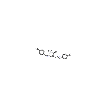 O=C(N(C/C=C/c1ccc(Cl)cc1)C/C=C/c1ccc(Cl)cc1)C(F)(F)F